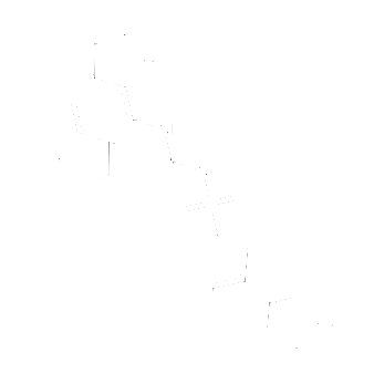 O=C(Nc1c2c(cc3c1CCC3)CCC2)NS(=O)(=O)c1cc(C2OCCO2)co1